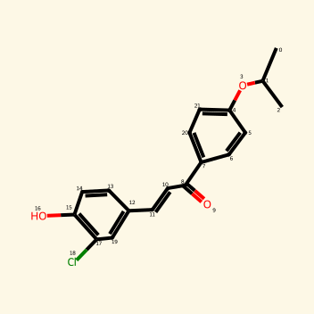 CC(C)Oc1ccc(C(=O)C=Cc2ccc(O)c(Cl)c2)cc1